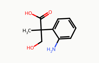 CC(CO)(C(=O)O)c1ccccc1N